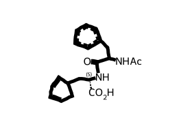 CC(=O)NC(Cc1ccccc1)C(=O)N[C@@H](CC1C=CC=CC1)C(=O)O